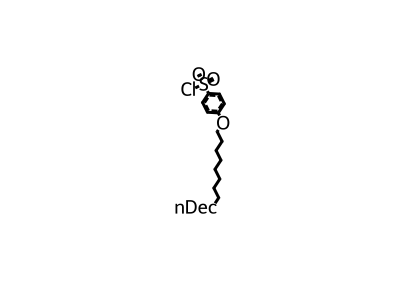 CCCCCCCCCCCCCCCCCCOc1ccc(S(=O)(=O)Cl)cc1